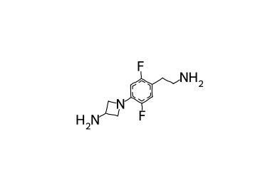 NCCc1cc(F)c(N2CC(N)C2)cc1F